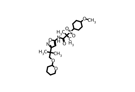 COC1CCC(S(=O)(=O)C(C)(C)C(=O)Nc2cc(C(C)(C)COC3CCCCO3)no2)CC1